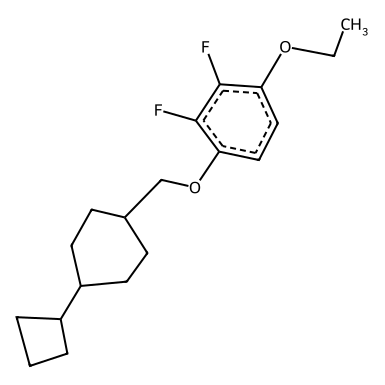 CCOc1ccc(OCC2CCC(C3CCC3)CC2)c(F)c1F